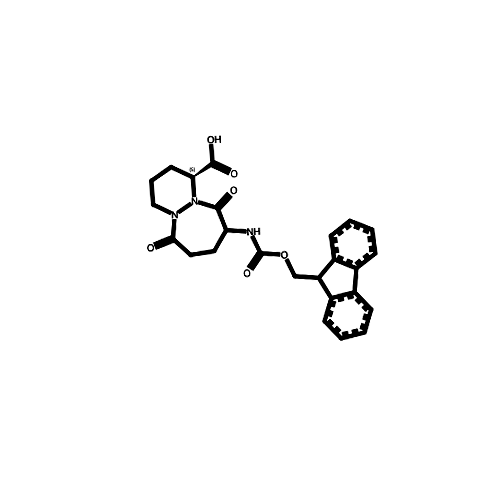 O=C(NC1CCC(=O)N2CCC[C@@H](C(=O)O)N2C1=O)OCC1c2ccccc2-c2ccccc21